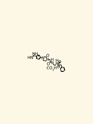 N=C(N)c1ccc(N2CCN(CC(=O)NC[C@H](NS(=O)(=O)Cc3ccccc3)C(=O)O)C(=O)C2)cc1